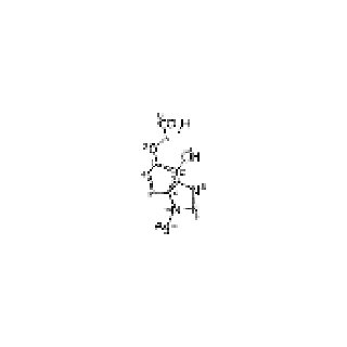 O=C(O)COc1ccc2c(nn[n]2[Ag])c1O